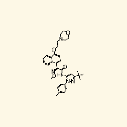 CON=C(C(=O)Nc1cc(C(C)(C)C)nn1-c1ccc(C)cc1)c1ccc(OCCN2CCOCC2)c2ccccc12